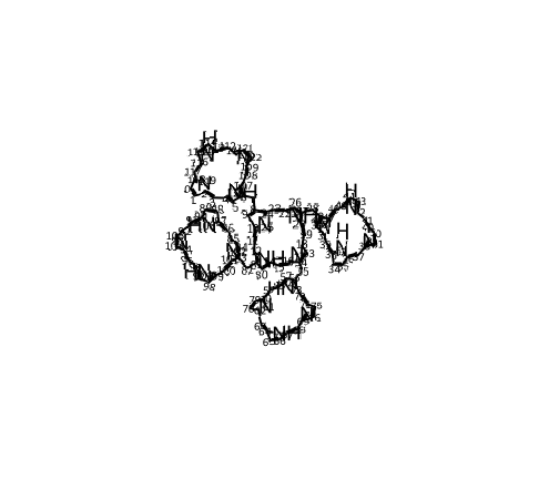 C1=Cc2cc3cc(CC4=Cc5cc6[nH]c(cc7nc(cc8[nH]c(cc4n5)cc8CC4=Cc5cc8ccc(cc9nc(cc%10ccc(cc4n5)[nH]%10)C=C9)[nH]8)C=C7Cc4cc5cc7nc(cc8ccc(cc9nc(cc4[nH]5)C=C9)[nH]8)C=C7)cc6CC4=Cc5cc6ccc(cc7nc(cc8ccc(cc4n5)[nH]8)C=C7)[nH]6)c(cc4nc(cc5ccc(cc1n2)[nH]5)C=C4)[nH]3